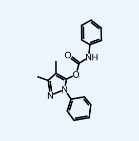 Cc1nn(-c2ccccc2)c(OC(=O)Nc2ccccc2)c1C